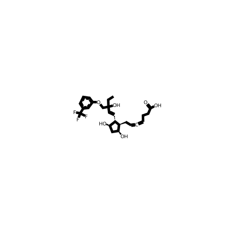 CCC(O)(C=C[C@@H]1[C@@H](CC=C=CCCC(=O)O)[C@@H](O)C[C@H]1O)COc1cccc(C(F)(F)F)c1